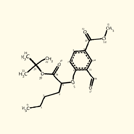 CCCCC(Oc1ccc(C(=O)OC)cc1C=O)C(=O)OC(C)(C)C